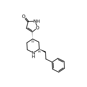 O=c1cc([C@H]2CCN[C@H](CCc3ccccc3)C2)o[nH]1